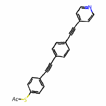 CC(=O)Sc1ccc(C#Cc2ccc(C#Cc3ccncc3)cc2)cc1